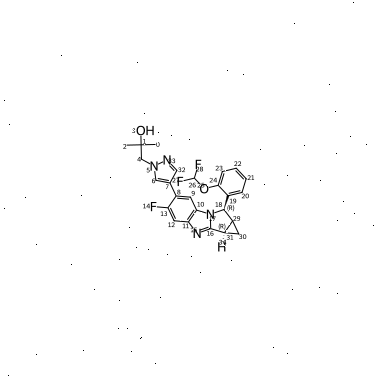 CC(C)(O)Cn1cc(-c2cc3c(cc2F)nc2n3[C@@H](c3ccccc3OC(F)F)C3C[C@@H]23)cn1